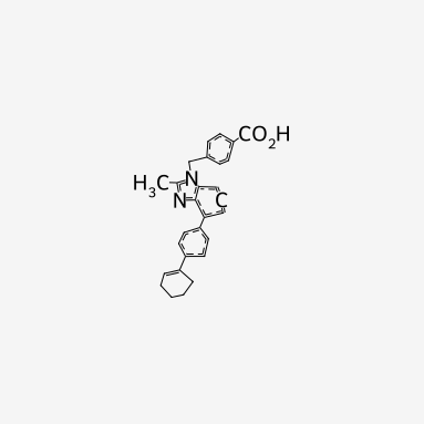 Cc1nc2c(-c3ccc(C4=CCCCC4)cc3)cccc2n1Cc1ccc(C(=O)O)cc1